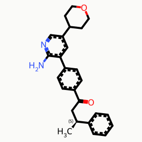 C[C@@H](CC(=O)c1ccc(-c2cc(C3CCOCC3)cnc2N)cc1)c1ccccc1